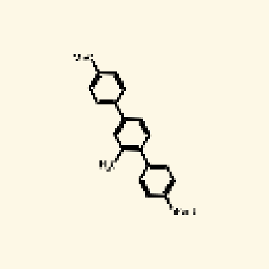 CCCCCc1ccc(-c2ccc(-c3ccc(OC)cc3)cc2C)cc1